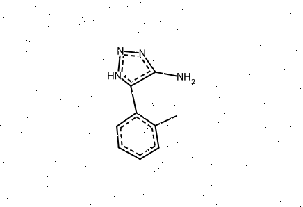 Cc1ccccc1-c1[nH]nnc1N